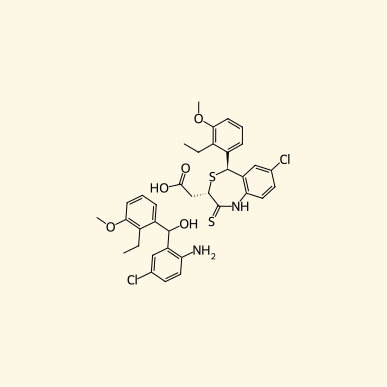 CCc1c(OC)cccc1C(O)c1cc(Cl)ccc1N.CCc1c(OC)cccc1[C@@H]1S[C@@H](CC(=O)O)C(=S)Nc2ccc(Cl)cc21